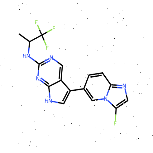 CC(Nc1ncc2c(-c3ccc4ncc(F)n4c3)c[nH]c2n1)C(F)(F)F